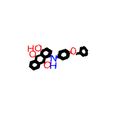 O=C1c2ccccc2C(=O)c2c(Nc3ccc(OCc4ccccc4)cc3)ccc(O)c21